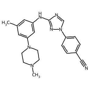 Cc1cc(Nc2ncn(-c3ccc(C#N)cc3)n2)cc(N2CCN(C)CC2)c1